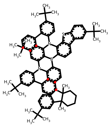 CC(C)(C)c1ccc(N2c3cc(N4c5ccc(C(C)(C)C)cc5C5(C)CCCCC45C)ccc3B3c4ccc5c(sc6ccc(C(C)(C)C)cc65)c4N(c4ccc(C(C)(C)C)cc4-c4ccccc4)c4cc(C(C)(C)C)cc2c43)c(-c2ccccc2)c1